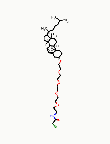 CC(C)CCC[C@@H](C)C1CC[C@H]2C3CC=C4C[C@@H](OCCOCCOCCOCCOCCNC(=O)CBr)CCC4(C)[C@H]3CCC12C